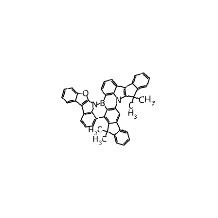 CC1(C)c2ccccc2-c2cc3c4c(c21)-c1cccc2c5c6ccccc6oc5n(c12)B4c1cccc2c4c(n-3c12)C(C)(C)c1ccccc1-4